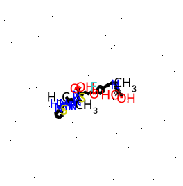 Cc1cc(N(C)c2nc(C(=O)O)c(CCCOc3ccc(C#CCN(C)CC[C@H](O)CO)cc3F)s2)nnc1Nc1nc2ccccc2s1